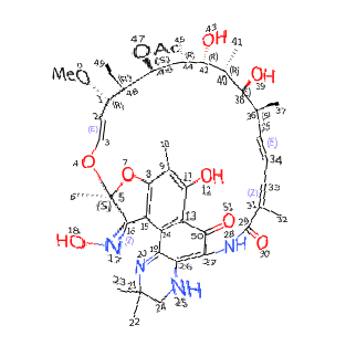 CO[C@H]1/C=C/O[C@@]2(C)Oc3c(C)c(O)c4c(c3/C2=N/O)C2=NC(C)(C)CNC2=C(NC(=O)/C(C)=C\C=C\[C@H](C)[C@H](O)[C@@H](C)[C@@H](O)[C@@H](C)[C@H](OC(C)=O)[C@@H]1C)C4=O